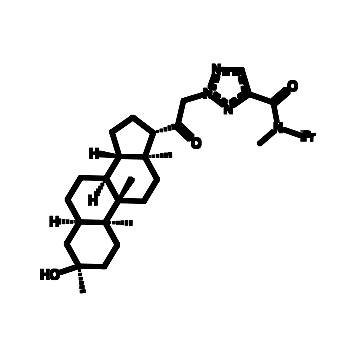 CC(C)N(C)C(=O)c1cnn(CC(=O)[C@H]2CC[C@H]3[C@@H]4CC[C@@H]5C[C@](C)(O)CC[C@]5(C)[C@@]4(C)CC[C@]23C)n1